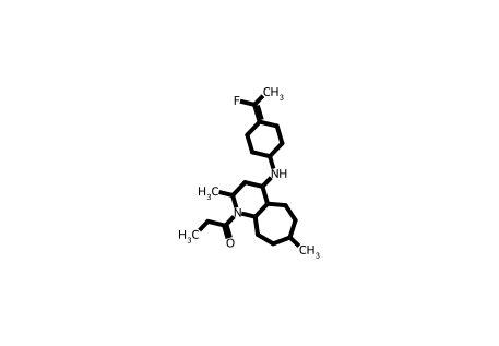 CCC(=O)N1C(C)CC(NC2CCC(=C(C)F)CC2)C2CCC(C)CCC21